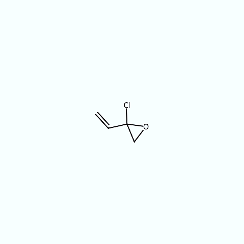 C=CC1(Cl)CO1